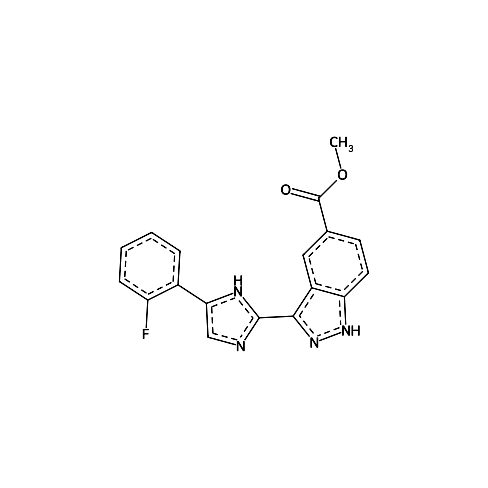 COC(=O)c1ccc2[nH]nc(-c3ncc(-c4ccccc4F)[nH]3)c2c1